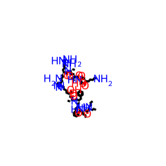 CCCN[C@H](CCC)C(=O)C[C@H](CCC)C(=O)N[C@@H](CC[C@@H](CN[C@H](CC)C(=O)C[C@H](CCCCn1nncc1C[C@@H](N)CC[C@H](CCCNC(=N)N)C(=O)N[C@H](CC)C(=O)C[C@@H](C(=O)N[C@@H](C(=O)C[C@H](CCCCN)C(=O)O)C(C)C)C(C)C)C(=O)O)Cc1ccccc1)Cc1ccccc1